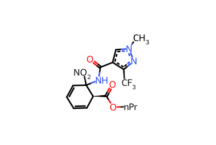 CCCOC(=O)[C@H]1C=CC=CC1(NC(=O)c1cn(C)nc1C(F)(F)F)[N+](=O)[O-]